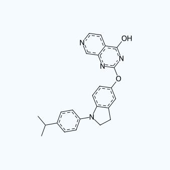 CC(C)c1ccc(N2CCc3cc(Oc4nc(O)c5ccncc5n4)ccc32)cc1